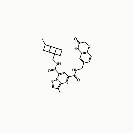 O=C1COc2ccc(CNC(=O)c3cc(C(=O)NCC45C6C7C4C4C5C6C74F)n4ncc(F)c4n3)cc2N1